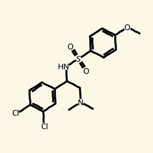 COc1ccc(S(=O)(=O)NC(CN(C)C)c2ccc(Cl)c(Cl)c2)cc1